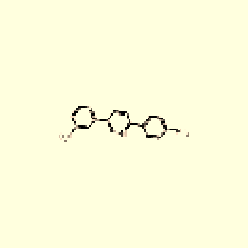 O=[N+]([O-])c1ccc(-c2ccc(-c3cccc([N+](=O)[O-])c3)cn2)cc1